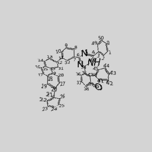 c1ccc(C2=NC(c3cccc(-c4ccc5ccc6cc(-c7ccccc7)ccc6c5c4)c3)=NC(c3cccc4oc5ccccc5c34)N2)cc1